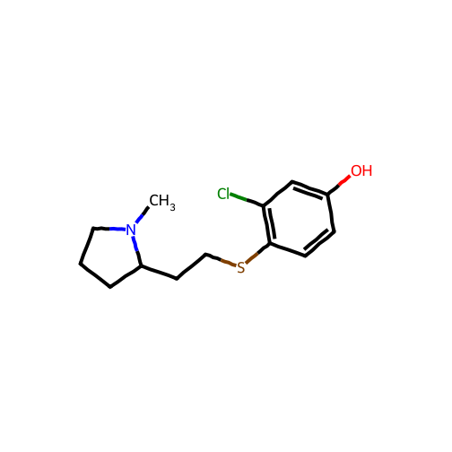 CN1CCCC1CCSc1ccc(O)cc1Cl